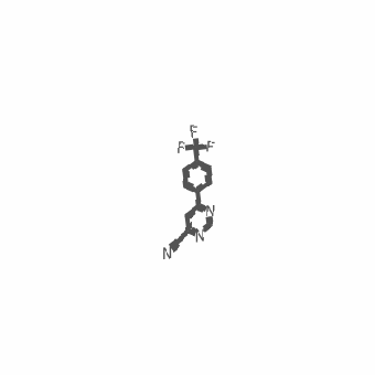 N#Cc1cc(-c2ccc(C(F)(F)F)cc2)ncn1